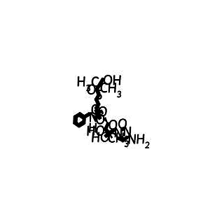 CC(C)(CO)C(=O)SCCOP(=O)(NCc1ccccc1)OC[C@H]1O[C@@H](n2ccc(N)nc2=O)[C@](C)(O)[C@@H]1O